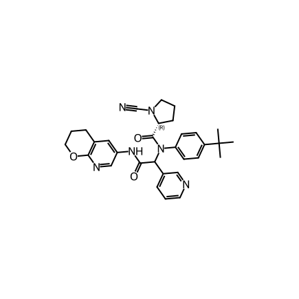 CC(C)(C)c1ccc(N(C(=O)[C@H]2CCCN2C#N)C(C(=O)Nc2cnc3c(c2)CCCO3)c2cccnc2)cc1